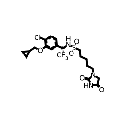 O=C1CN(CCCCCS(=O)(=O)N[C@@H](c2ccc(Cl)c(OCC3CC3)c2)C(F)(F)F)C(=O)N1